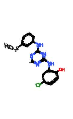 O=S(=O)(O)c1cccc(Nc2n[c]nc(Nc3cc(Cl)ccc3O)n2)c1